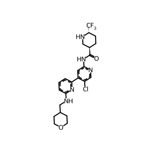 O=C(Nc1cc(-c2cccc(NCC3CCOCC3)n2)c(Cl)cn1)[C@@H]1CC[C@@H](C(F)(F)F)NC1